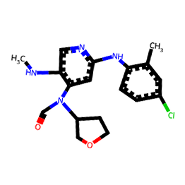 CNc1cnc(Nc2ccc(Cl)cc2C)cc1N(C=O)C1CCOC1